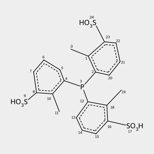 Cc1c(P(c2cccc(S(=O)(=O)O)c2C)c2cccc(S(=O)(=O)O)c2C)cccc1S(=O)(=O)O